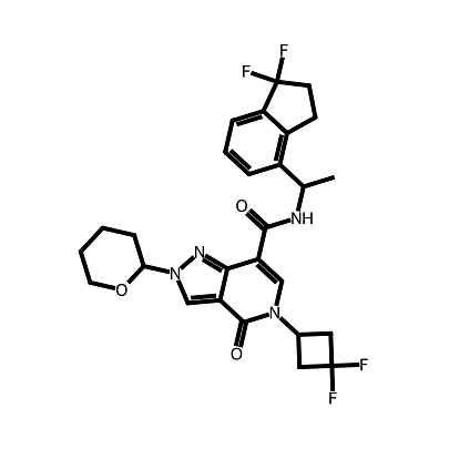 CC(NC(=O)c1cn(C2CC(F)(F)C2)c(=O)c2cn(C3CCCCO3)nc12)c1cccc2c1CCC2(F)F